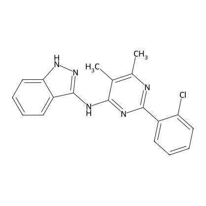 Cc1nc(-c2ccccc2Cl)nc(Nc2n[nH]c3ccccc23)c1C